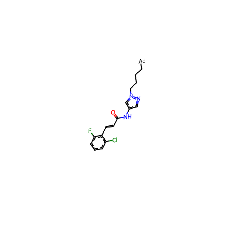 CC(=O)CCCCn1cc(NC(=O)C=Cc2c(F)cccc2Cl)cn1